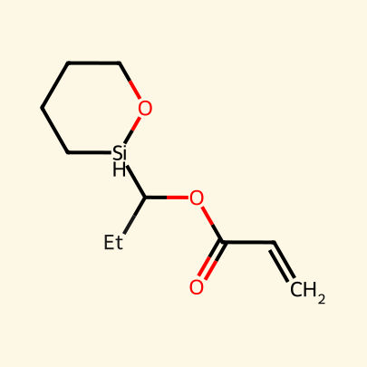 C=CC(=O)OC(CC)[SiH]1CCCCO1